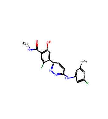 COc1cc(F)cc(Nc2ccc(-c3cc(O)c(C(=O)NC(=O)O)cc3F)nn2)c1